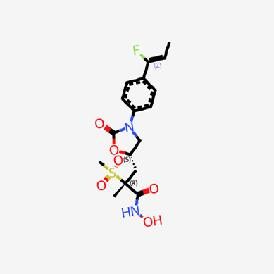 C/C=C(\F)c1ccc(N2C[C@H](C[C@](C)(C(=O)NO)S(C)(=O)=O)OC2=O)cc1